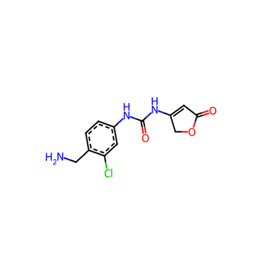 NCc1ccc(NC(=O)NC2=CC(=O)OC2)cc1Cl